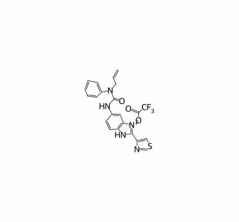 C=CCN(C(=O)Nc1ccc2[nH]c(-c3cscn3)[n+](OC(=O)C(F)(F)F)c2c1)c1ccccc1